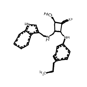 CCc1ccc(NC2C(=O)C(O)C2Nc2c[nH]c3ccccc23)cc1